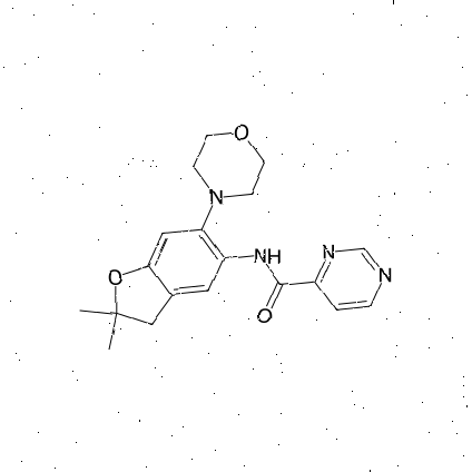 CC1(C)Cc2cc(NC(=O)c3ccncn3)c(N3CCOCC3)cc2O1